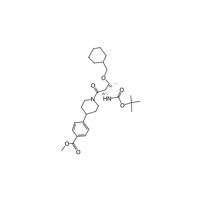 COC(=O)c1ccc(C2CCN(C(=O)[C@@H](NC(=O)OC(C)(C)C)[C@@H](C)OCC3CCCCC3)CC2)cc1